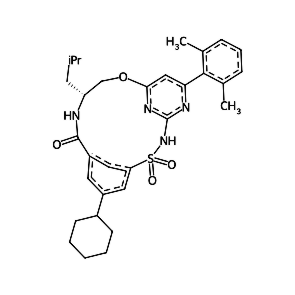 Cc1cccc(C)c1-c1cc2nc(n1)NS(=O)(=O)c1cc(cc(C3CCCCC3)c1)C(=O)N[C@H](CC(C)C)CO2